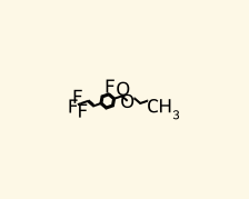 CCCCOC(=O)c1ccc(C=CC(F)(F)F)cc1F